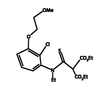 CCOC(=O)C(C(=O)OCC)C(=S)N(CC)c1cccc(OCCOC)c1Cl